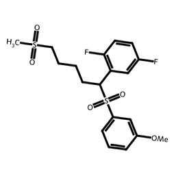 COc1cccc(S(=O)(=O)C(CCCCS(C)(=O)=O)c2cc(F)ccc2F)c1